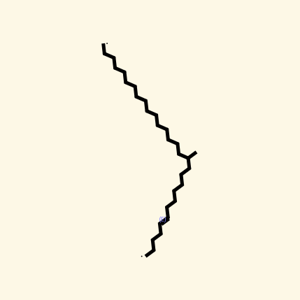 [CH2]CCC/C=C/CCCCCCC(C)CCCCCCCCCCCCCCC[CH2]